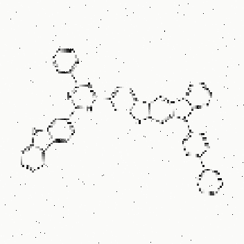 c1ccc(-c2ccc(-n3c4ccccc4c4cc5c(cc43)oc3cc(-c4nc(-c6ccccc6)nc(-c6ccc7c(c6)oc6ccccc67)n4)ccc35)cc2)cc1